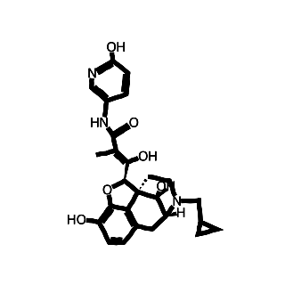 C/C(C(=O)Nc1ccc(O)nc1)=C(/O)[C@@H]1Oc2c(O)ccc3c2[C@@]12CCN(CC1CC1)[C@H](C3)[C@@]2(C)O